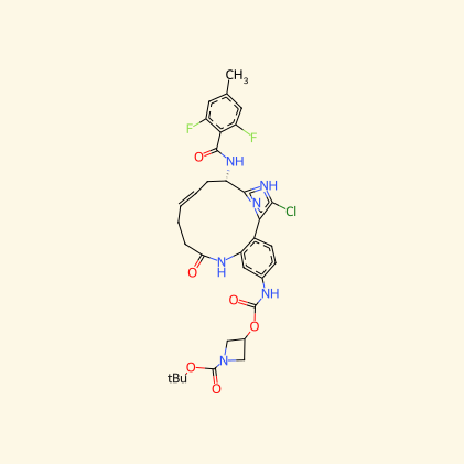 Cc1cc(F)c(C(=O)N[C@H]2CC=CCCC(=O)Nc3cc(NC(=O)OC4CN(C(=O)OC(C)(C)C)C4)ccc3-c3nc2[nH]c3Cl)c(F)c1